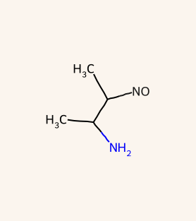 CC(N)C(C)N=O